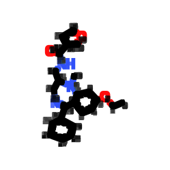 CCOc1ccc2c(c1)N(C)C(CNC(=O)c1ccoc1)CN=C2c1ccccc1